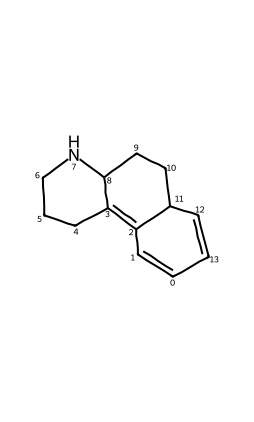 C1=CC2=C3CCCNC3CCC2C=C1